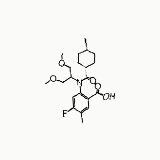 COCC(COC)N(c1cc(F)c(C)cc1C(=O)O)C(=O)[C@H]1CC[C@H](C)CC1